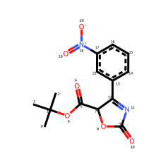 CC(C)(C)OC(=O)C1OC(=O)N=C1c1cccc([N+](=O)[O-])c1